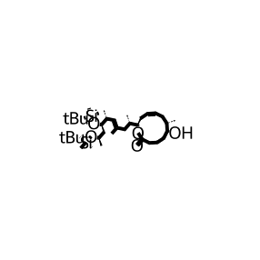 CC(=C[C@@H](C)[C@@H](C[C@@H](C)O[Si](C)(C)C(C)(C)C)O[Si](C)(C)C(C)(C)C)C[C@H](C)[C@H]1CC=CC[C@H](C)[C@@H](O)CCCC(=O)O1